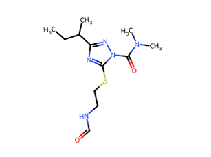 CCC(C)c1nc(SCCNC=O)n(C(=O)N(C)C)n1